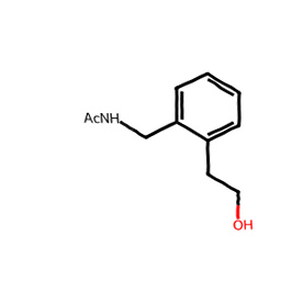 CC(=O)NCc1ccccc1CCO